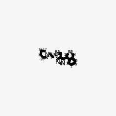 c1ccc2c(-c3ncnc4c3cnn4CCN3CCCCC3)cncc2c1